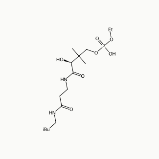 CCOP(=O)(O)OCC(C)(C)[C@H](O)C(=O)NCCC(=O)NCC(C)CC